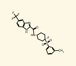 Cc1cccc(S(=O)(=O)[C@]2(F)CC[C@@H](NC(=O)c3nc4cc(C(F)(F)F)ccc4[nH]3)CC2)c1